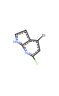 CCc1cc(F)nc2[nH]ccc12